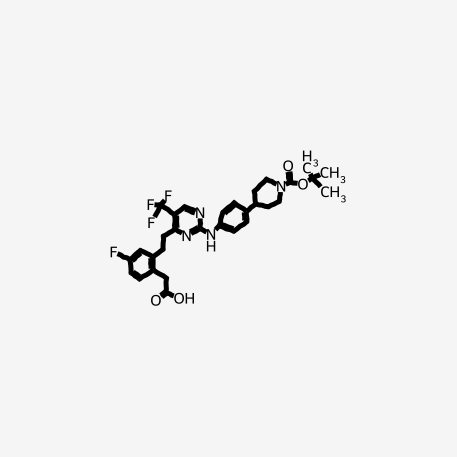 CC(C)(C)OC(=O)N1CCC(c2ccc(Nc3ncc(C(F)(F)F)c(CCc4cc(F)ccc4CC(=O)O)n3)cc2)CC1